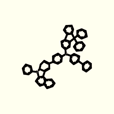 C1=C(c2ccc(N(c3ccc(-c4ccccc4)cc3)c3ccc4c(c3)C(c3ccccc3)(c3ccccc3)c3ccccc3-4)cc2)C=C2c3c(ccc4ccccc34)N(c3ccccc3)C2C1